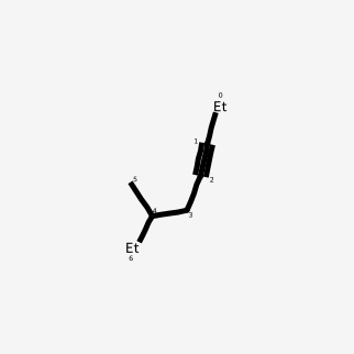 CCC#CCC(C)CC